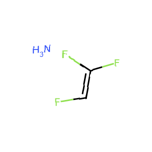 FC=C(F)F.N